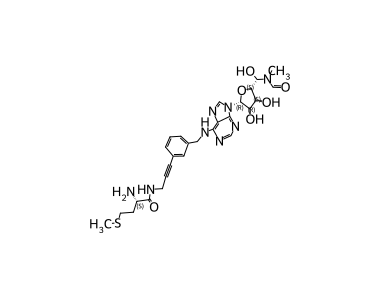 CSCC[C@H](N)C(=O)NCC#Cc1cccc(CNc2ncnc3c2ncn3[C@@H]2O[C@H](C(O)N(C)C=O)[C@@H](O)[C@H]2O)c1